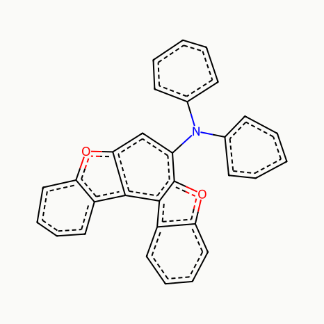 c1ccc(N(c2ccccc2)c2cc3oc4ccccc4c3c3c2oc2ccccc23)cc1